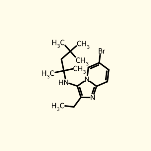 CCc1nc2ccc(Br)cn2c1NC(C)(C)CC(C)(C)C